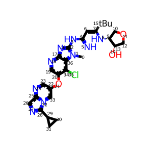 Cn1c(NC(=N)/C=C(\N[C@@H]2COC[C@@H]2O)C(C)(C)C)nc2ncc(Oc3cnc4cnc(C5CC5)n4c3)c(Cl)c21